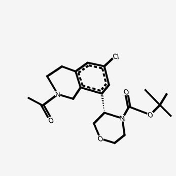 CC(=O)N1CCc2cc(Cl)cc([C@H]3COCCN3C(=O)OC(C)(C)C)c2C1